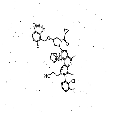 COc1ccc(F)c(COC2CC(c3cc4c(C)nc5c(F)c(-c6cccc(Cl)c6Cl)c(CCC#N)cc5c4n3C3C4CNC3C4)N(C(=O)C3CC3)C2)c1F